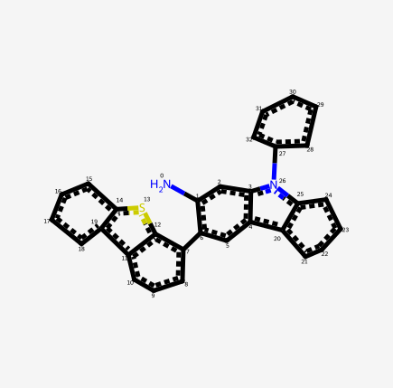 Nc1cc2c(cc1-c1cccc3c1sc1ccccc13)c1ccccc1n2-c1ccccc1